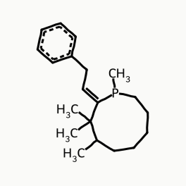 CC1CCCCCP(C)C(=CCc2ccccc2)C1(C)C